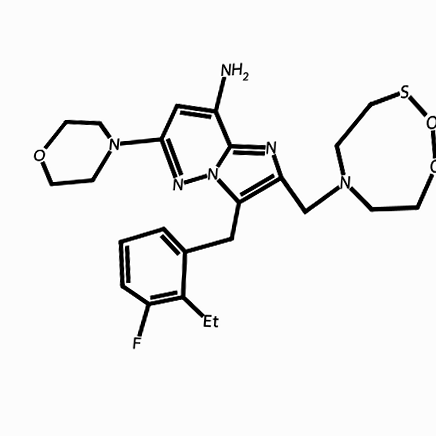 CCc1c(F)cccc1Cc1c(CN2CCOOSCC2)nc2c(N)cc(N3CCOCC3)nn12